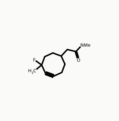 CNC(=O)CC1CCC#CC(C)(F)CC1